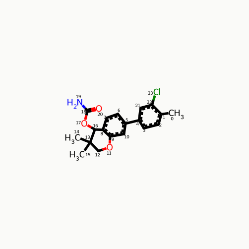 Cc1ccc(-c2ccc3c(c2)OCC(C)(C)C3OC(N)=O)cc1Cl